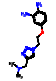 CN(C)Cc1cn(CCOc2ccc(N)c(N)c2)nn1